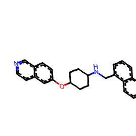 c1ccc2c(CNC3CCC(Oc4ccc5cnccc5c4)CC3)cccc2c1